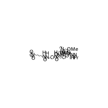 CC[C@H](C)[C@@H]([C@@H](CC(=O)N1CCC[C@H]1[C@H](OC)[C@@H](C)C(=O)N[C@@H](Cc1ccccc1)C(=O)Nc1ccc(CNC(=O)NCCCCCCN2C(=O)C=CC2=O)cc1)OC)N(C)C(=O)[C@@H](/N=C(\C(C)C)N(C)C)C(C)C